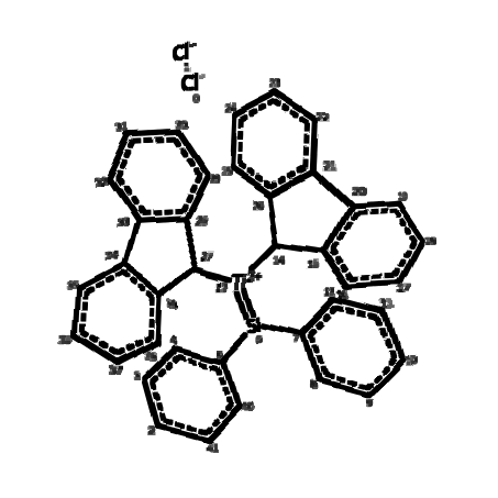 [Cl-].[Cl-].c1ccc([Si](c2ccccc2)=[Ti+2]([CH]2c3ccccc3-c3ccccc32)[CH]2c3ccccc3-c3ccccc32)cc1